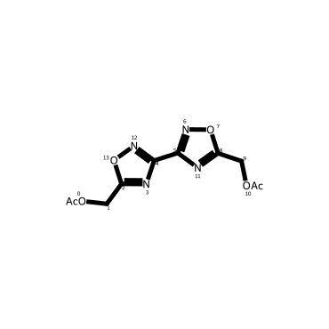 CC(=O)OCc1nc(-c2noc(COC(C)=O)n2)no1